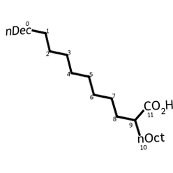 CCCCCCCCCCCCCCCCCCC(CCCCCCCC)C(=O)O